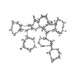 c1ccc(-c2nccc(-n3c4ccccc4c4ccc5cc6c7ccccc7n(-c7ccccc7)c6cc5c43)n2)cc1